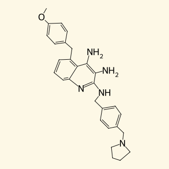 COc1ccc(Cc2cccc3nc(NCc4ccc(CN5CCCC5)cc4)c(N)c(N)c23)cc1